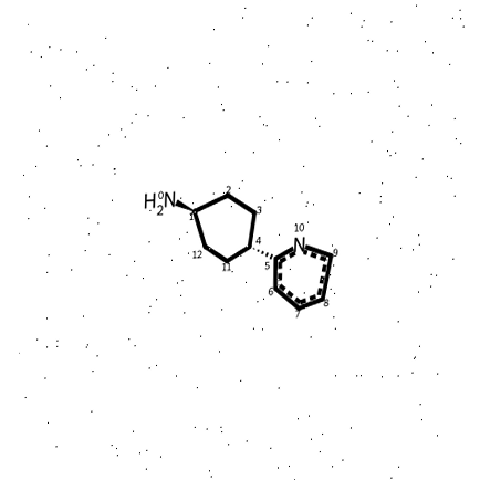 N[C@H]1CC[C@H](c2ccccn2)CC1